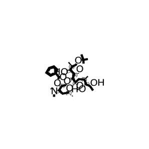 CO[C@](C)(C[C@@H](C)[C@H](O)C(C)O)[C@H](OC1O[C@H](C)C[C@H](N(C)C)[C@H]1OC(=O)c1ccccc1)[C@@H](C)[C@H](O)[C@@H](C)C(=O)OC(C)(C)C